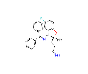 CCCC1(CCC=N)Oc2ccc(F)cc2[C@H]1N=C(c1ccccc1)c1ccccc1